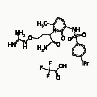 Cc1ccc(NS(=O)(=O)c2ccc(C(C)C)cc2)c(=O)n1C(CCONC(=N)N)C(N)=O.O=C(O)C(F)(F)F